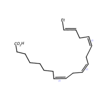 CCC=CC/C=C\C/C=C\C/C=C\CCCCCCC(=O)O